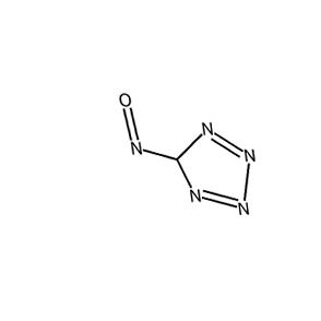 O=NC1N=NN=N1